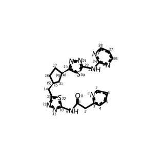 O=C(Cc1ccccn1)Nc1nnc(C[C@H]2CC[C@@H](c3nnc(Nc4ncccn4)s3)C2)s1